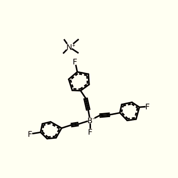 C[N+](C)(C)C.Fc1ccc(C#C[B-](F)(C#Cc2ccc(F)cc2)C#Cc2ccc(F)cc2)cc1